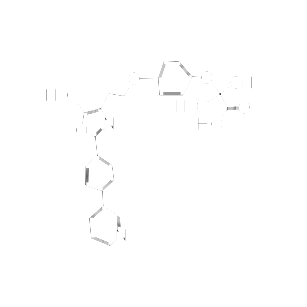 Cc1oc(-c2ccc(-c3cccnc3)cc2)nc1CCOc1ccc(OC(C)(C)C(=O)O)cc1